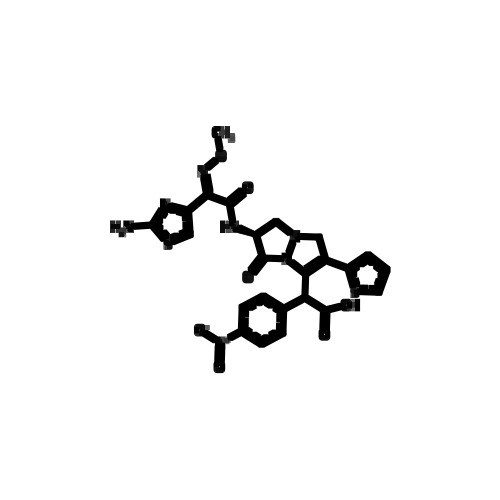 CO/N=C(\C(=O)N[C@H]1CN2CC(c3cccs3)=C(C(C(=O)O)c3ccc([N+](=O)[O-])cc3)N2C1=O)c1csc(N)n1